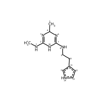 CNC1=NC(C)N=C(NCCc2cc[nH]c2)N1